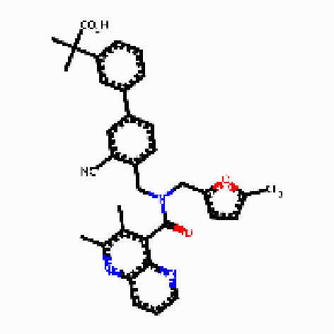 Cc1nc2cccnc2c(C(=O)N(Cc2ccc(C(F)(F)F)o2)Cc2ccc(-c3cccc(C(C)(C)C(=O)O)c3)cc2C#N)c1C